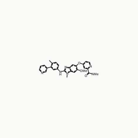 CNC(=O)c1cc(Oc2cc3nc(Nc4ccc(C)c(-c5cccnc5)c4)n(C)c3cc2OC)ccn1